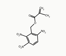 C=C(C)C(=O)OCc1c([N+](=O)[O-])ccc([N+](=O)[O-])c1[N+](=O)[O-]